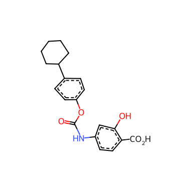 O=C(Nc1ccc(C(=O)O)c(O)c1)Oc1ccc(C2CCCCC2)cc1